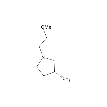 COCCN1CC[C@@H](C)C1